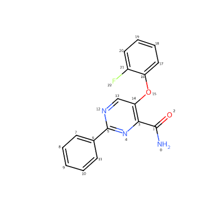 NC(=O)c1nc(-c2ccccc2)ncc1Oc1ccccc1F